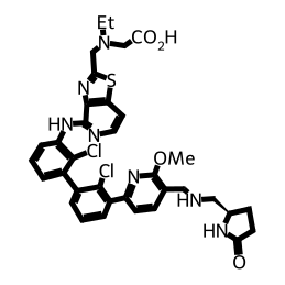 CCN(CC(=O)O)Cc1nc2c(Nc3cccc(-c4cccc(-c5ccc(CNC[C@H]6CCC(=O)N6)c(OC)n5)c4Cl)c3Cl)nccc2s1